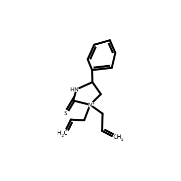 C=CC[N+]1(CC=C)CC(c2ccccc2)NC1=S